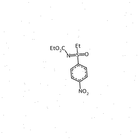 CCOC(=O)N=S(=O)(CC)c1ccc([N+](=O)[O-])cc1